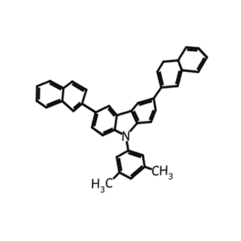 Cc1cc(C)cc(-n2c3ccc(C4=CCC5C=CC=CC5=C4)cc3c3cc(-c4ccc5ccccc5c4)ccc32)c1